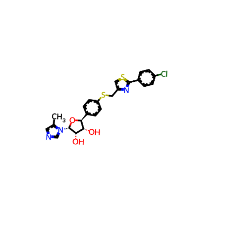 Cc1cncn1[C@@H]1O[C@@H](c2ccc(SCc3csc(-c4ccc(Cl)cc4)n3)cc2)[C@H](O)[C@@H]1O